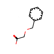 O=C(O)COCc1ccccc1.[Ag]